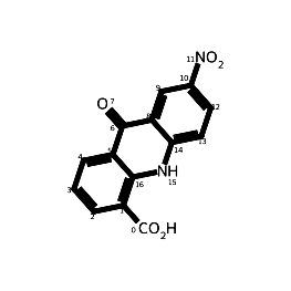 O=C(O)c1cccc2c(=O)c3cc([N+](=O)[O-])ccc3[nH]c12